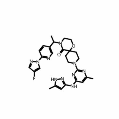 Cc1cc(Nc2cc(C)[nH]n2)nc(N2CCC3(CC2)OCCN(C(C)c2ccc(-n4cc(F)cn4)nc2)C3=O)n1